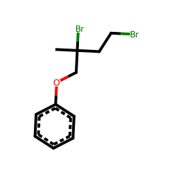 CC(Br)(CCBr)COc1ccccc1